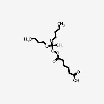 CCCCOC(C)(OCCCC)OOC(=O)CCCCC(=O)O